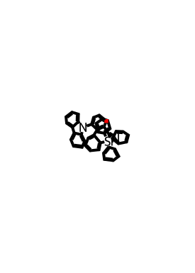 N#Cc1cccc(-n2c3ccccc3c3ccccc32)c1-c1ccccc1[Si](c1ccccc1)(c1ccccc1)c1ccccc1